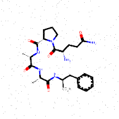 C[C@H](NC(=O)[C@H](C)NC(=O)[C@@H]1CCCN1C(=O)[C@@H](N)CCC(N)=O)C(=O)N[C@@H](Cc1ccccc1)C(=O)O